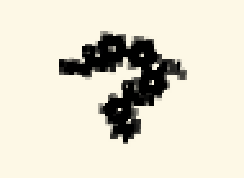 Cc1ccc(NC(=O)c2ccnc(C(F)(F)F)c2)cc1-c1cccc(-c2ccnc(NC(=O)CC#N)c2)c1